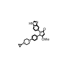 COC1=CC(=O)N(c2ccc3[nH]cnc3c2)C1c1ccc(N2CCN(C3CC3)CC2)cc1